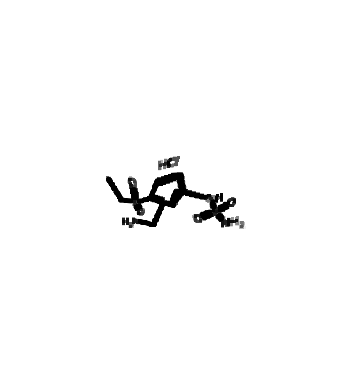 CCS(=O)(=O)c1ccc(NS(N)(=O)=O)cc1CN.Cl